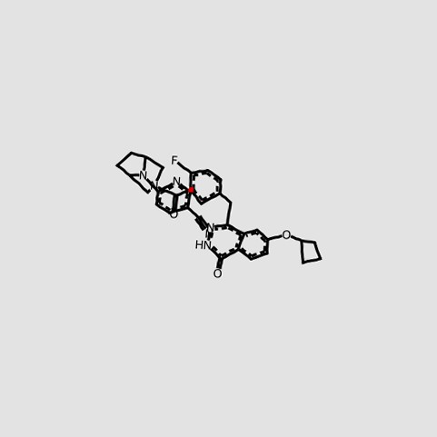 N#Cc1ccc(N2C3CCC2CN(C(=O)c2cc(Cc4n[nH]c(=O)c5ccc(OC6CCC6)cc45)ccc2F)C3)nc1